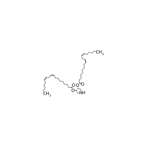 CCCCC/C=C\C/C=C\CCCCCCCC(=O)O[C@@H]1CNC[C@H]1OC(=O)CCCCCCC/C=C\C/C=C\CCCCC